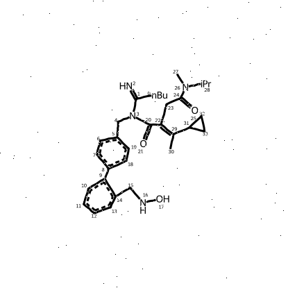 CCCCC(=N)N(Cc1ccc(-c2ccccc2CNO)cc1)C(=O)/C(CC(=O)N(C)C(C)C)=C(\C)C1CC1